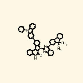 CC1(C)c2ccccc2-c2ccc(-c3nc(-n4c5ccc(-c6ccc7c(c6)c6ccccc6n7-c6ccccc6)cc5c5c6ccccc6[nH]c(=O)c54)nc4ccccc34)cc21